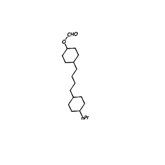 CCCC1CCC(CCCCC2CCC(OC=O)CC2)CC1